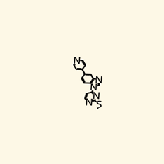 CSc1nccc(-n2cnc3cc(-c4ccncc4)ccc32)n1